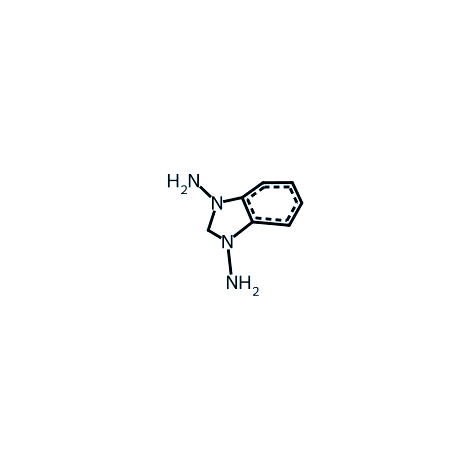 NN1CN(N)c2ccccc21